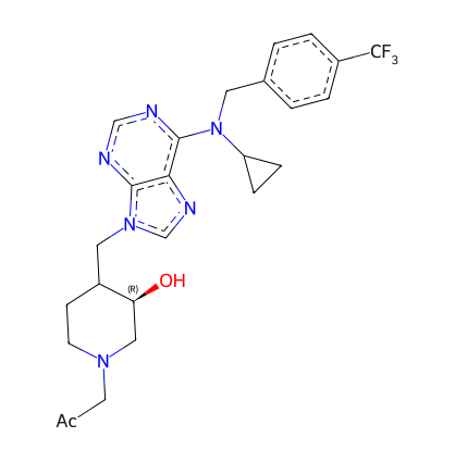 CC(=O)CN1CCC(Cn2cnc3c(N(Cc4ccc(C(F)(F)F)cc4)C4CC4)ncnc32)[C@@H](O)C1